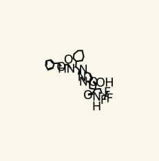 O=C(N[C@H](c1cn2nc(CC3(C(=O)O)C[C@@H](C(F)(F)F)NC3=O)ccc2n1)C1CCCCCC1)OCc1ccccc1